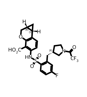 O=C(O)c1c(NS(=O)(=O)c2ccc(F)cc2C[C@@H]2CCN(C(=O)C(F)(F)F)C2)ccc2c1OC[C@@H]1C[C@H]21